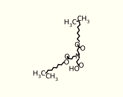 CC(C)CCCCCCCOC(=O)CCN(CCC(=O)O)CCC(=O)OCCCCCCCC(C)C